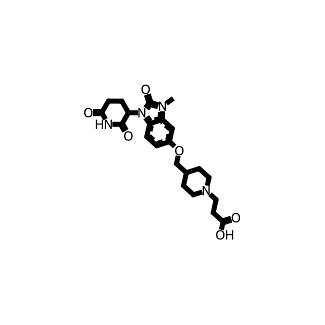 Cn1c(=O)n(C2CCC(=O)NC2=O)c2ccc(OCC3CCN(CCC(=O)O)CC3)cc21